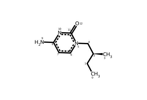 CC[C@H](C)Cn1ccc(N)nc1=O